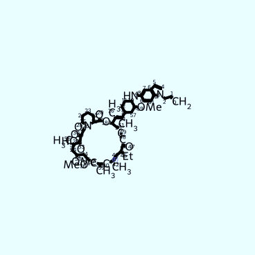 C=CCn1ccc2cc(NC3CCC(C=C(C)C4OC(=O)C5CCCCN5C(=O)C(=O)C5(O)OC(C(OC)CC(C)C/C(C)=C/C(CC)C(=O)CCC4C)C(OC)CC5C)CC3OC)ccc21